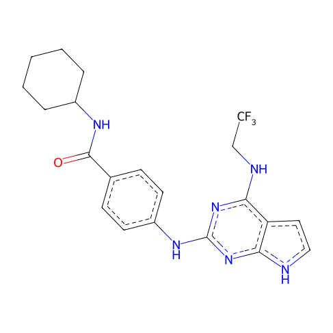 O=C(NC1CCCCC1)c1ccc(Nc2nc(NCC(F)(F)F)c3cc[nH]c3n2)cc1